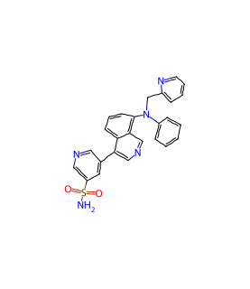 NS(=O)(=O)c1cncc(-c2cncc3c(N(Cc4ccccn4)c4ccccc4)cccc23)c1